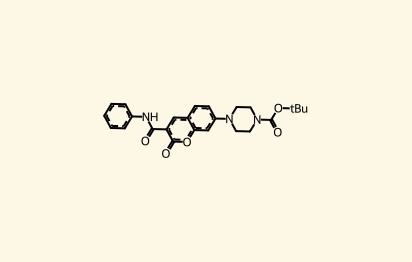 CC(C)(C)OC(=O)N1CCN(c2ccc3cc(C(=O)Nc4ccccc4)c(=O)oc3c2)CC1